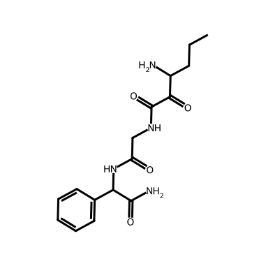 CCCC(N)C(=O)C(=O)NCC(=O)NC(C(N)=O)c1ccccc1